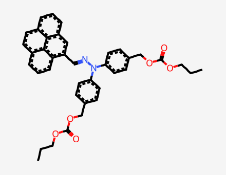 CCCOC(=O)OCc1ccc(N(N=Cc2cc3cccc4ccc5cccc2c5c43)c2ccc(COC(=O)OCCC)cc2)cc1